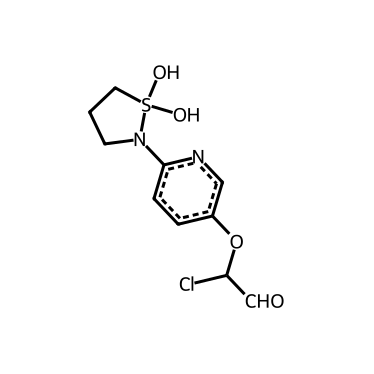 O=CC(Cl)Oc1ccc(N2CCCS2(O)O)nc1